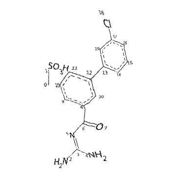 CS(=O)(=O)O.NC(N)=NC(=O)c1cccc(-c2cccc(Cl)c2)c1